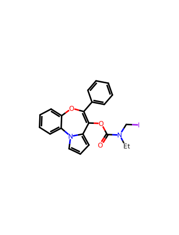 CCN(CI)C(=O)OC1=C(c2ccccc2)Oc2ccccc2-n2cccc21